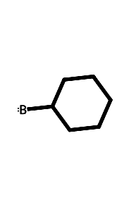 [B]C1CCCCC1